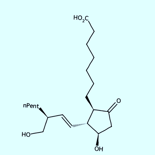 CCCCC[C@@H](C=C[C@H]1[C@H](O)CC(=O)[C@@H]1CCCCCCC(=O)O)CO